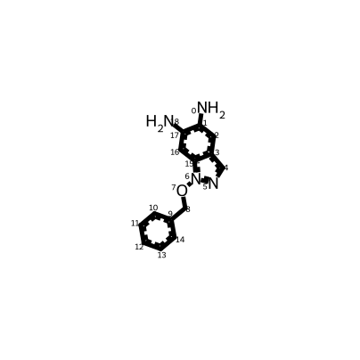 Nc1cc2cnn(OCc3ccccc3)c2cc1N